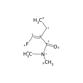 CCC(=CF)C(=O)N(C)C